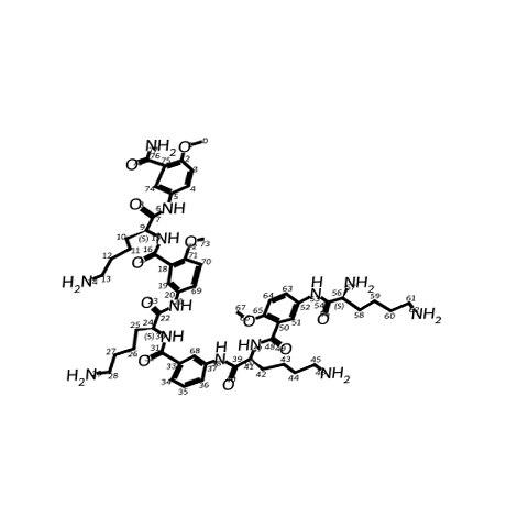 COc1ccc(NC(=O)[C@H](CCCCN)NC(=O)c2cc(NC(=O)[C@H](CCCCN)NC(=O)c3cccc(NC(=O)[C@H](CCCCN)NC(=O)c4cc(NC(=O)[C@@H](N)CCCCN)ccc4OC)c3)ccc2OC)cc1C(N)=O